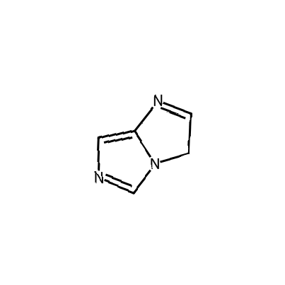 C1=Nc2cncn2C1